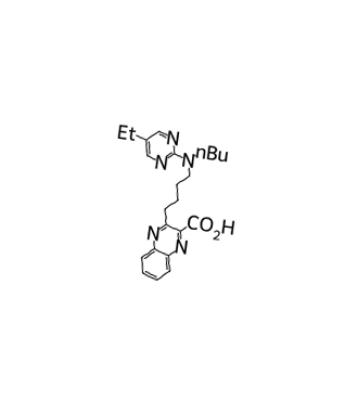 CCCCN(CCCCc1nc2ccccc2nc1C(=O)O)c1ncc(CC)cn1